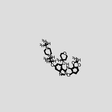 [2H]C1(Oc2cc(OC([2H])([2H])C([2H])([2H])N3CCN(C([2H])([2H])[2H])CC3)cc3ncnc(Nc4c(Cl)ccc5c4OC([2H])([2H])O5)c23)CCOCC1